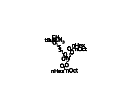 CCCCCCCCC(CCCCCC)C(=O)OCCN(CCOC(=O)C(CCCCCC)CCCCCCCC)C(=O)OCCSSCCO[Si](C)(C)C(C)(C)C